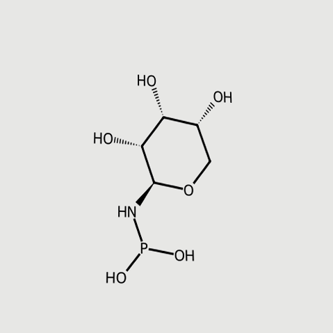 O[C@@H]1[C@H](O)[C@H](O)CO[C@H]1NP(O)O